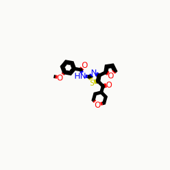 COc1cccc(C(=O)Nc2nc(-c3ccco3)c(C(=O)C3CCOCC3)s2)c1